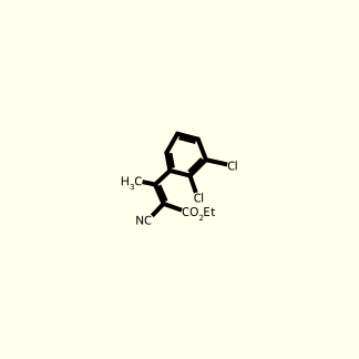 CCOC(=O)/C(C#N)=C(/C)c1cccc(Cl)c1Cl